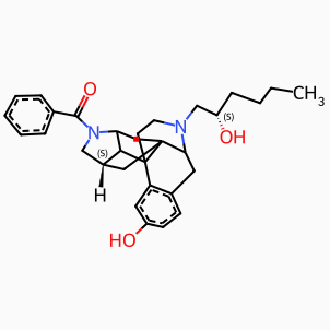 CCCC[C@H](O)CN1CCC23c4cc(O)ccc4CC1C21CCC2C3[C@@H](CN2C(=O)c2ccccc2)C1